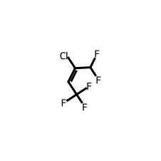 FC(F)/C(Cl)=C\C(F)(F)F